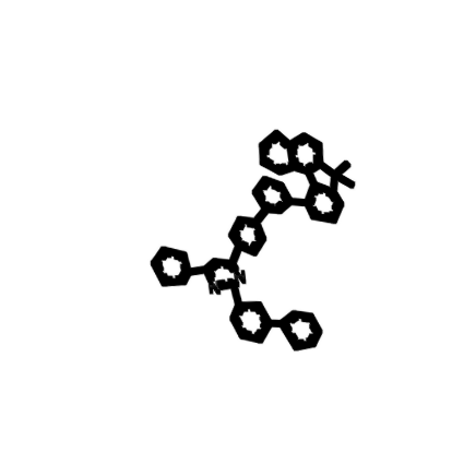 CC1(C)c2cccc(-c3cccc(-c4ccc(-c5cc(-c6ccccc6)nc(-c6cccc(-c7ccccc7)c6)n5)cc4)c3)c2-c2c1ccc1ccccc21